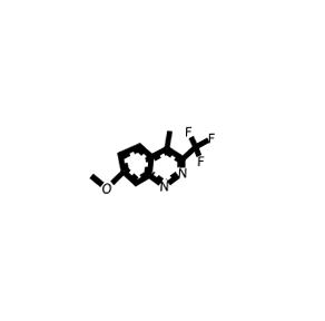 COc1ccc2c(C)c(C(F)(F)F)nnc2c1